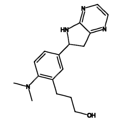 CN(C)c1ccc(C2Cc3nccnc3N2)cc1CCCO